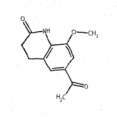 COc1cc(C(C)=O)cc2c1NC(=O)CC2